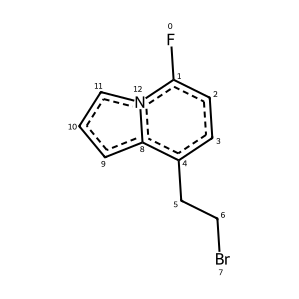 Fc1ccc(CCBr)c2cccn12